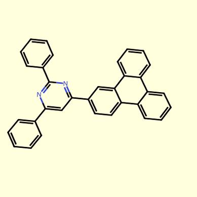 c1ccc(-c2cc(-c3ccc4c5ccccc5c5ccccc5c4c3)nc(-c3ccccc3)n2)cc1